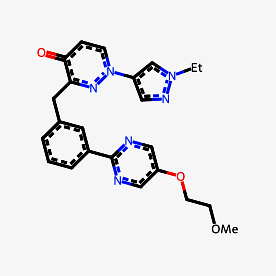 CCn1cc(-n2ccc(=O)c(Cc3cccc(-c4ncc(OCCOC)cn4)c3)n2)cn1